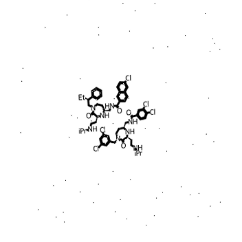 CC(C)NCC[C@@H]1N[C@H](CNC(=O)c2ccc(Cl)c(Cl)c2)CCN(Cc2cc(Cl)cc(Cl)c2)C1=O.CC[C@H](CN1CC[C@@H](CNC(=O)c2ccc3cc(Cl)ccc3c2)N[C@@H](CCNC(C)C)C1=O)c1ccccc1